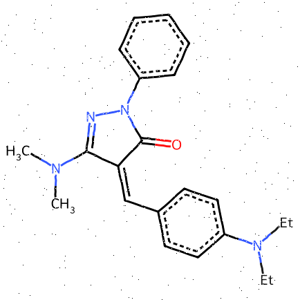 CCN(CC)c1ccc(/C=C2\C(=O)N(c3ccccc3)N=C2N(C)C)cc1